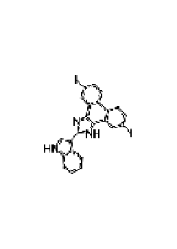 Ic1ccc2c3ccc(I)cc3c3[nH]c(-c4c[nH]c5ccccc45)nc3c2c1